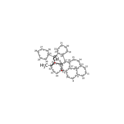 C/C=C(\C)c1cc2ccc3cccc4ccc(c1-c1ccccc1P(c1ccccc1)c1ccccc1)c2c34